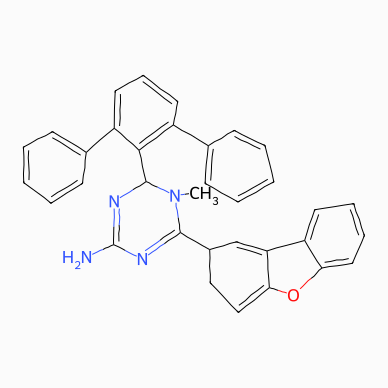 CN1C(C2C=c3c(oc4ccccc34)=CC2)=NC(N)=NC1c1c(-c2ccccc2)cccc1-c1ccccc1